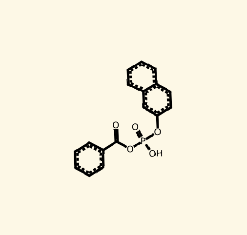 O=C(OP(=O)(O)Oc1ccc2ccccc2c1)c1ccccc1